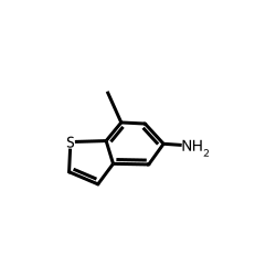 Cc1cc(N)cc2ccsc12